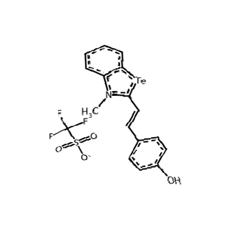 C[n+]1c(/C=C/c2ccc(O)cc2)[te]c2ccccc21.O=S(=O)([O-])C(F)(F)F